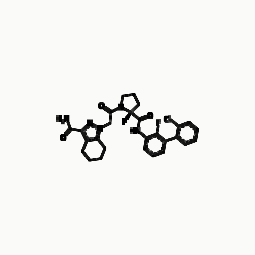 NC(=O)c1nn(CC(=O)N2CCC[C@]2(F)C(=O)Nc2cccc(-c3ccccc3Cl)c2F)c2c1CCCC2